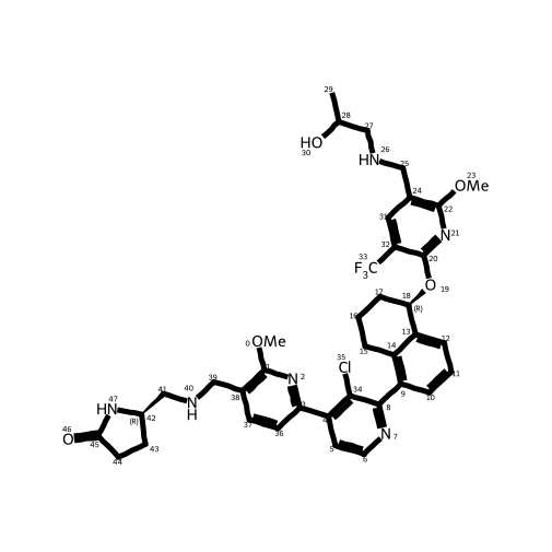 COc1nc(-c2ccnc(-c3cccc4c3CCC[C@H]4Oc3nc(OC)c(CNCC(C)O)cc3C(F)(F)F)c2Cl)ccc1CNC[C@H]1CCC(=O)N1